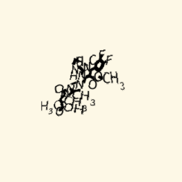 CCOC(=O)C1=C(CN2CCN3C(=O)N(CC(C)(C)C(=O)O)CC3(C)C2)NC(c2nccs2)=NC1c1ccc(F)c(F)c1C